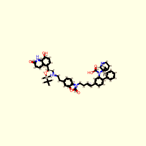 CC(C)(C)[Si](C)(C)O[C@H](CNCCc1ccc2c(c1)oc(=O)n2CC/C=C/c1ccc(-c2ccccc2)c(N(C(=O)O)[C@H]2CN3CCC2CC3)c1)c1ccc(O)c2[nH]c(=O)ccc12